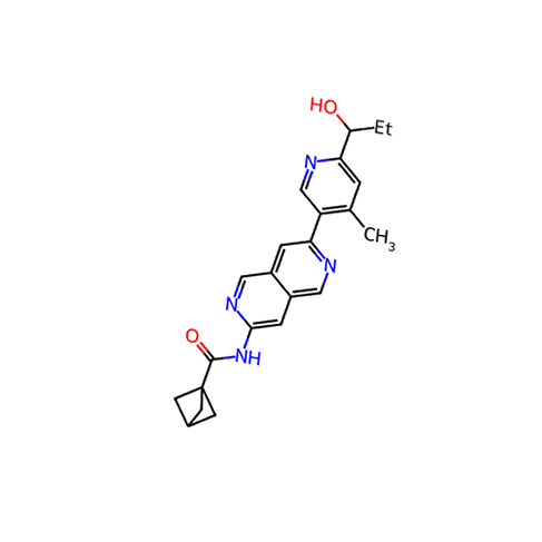 CCC(O)c1cc(C)c(-c2cc3cnc(NC(=O)C45CC(C4)C5)cc3cn2)cn1